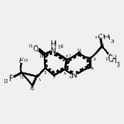 CC(C)c1cnc2cc(C3CC3(F)F)c(=O)[nH]c2c1